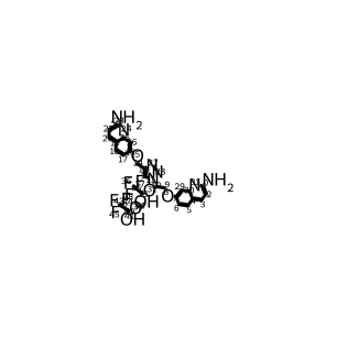 Nc1ccc2ccc(OCCn3cc(COc4ccc5ccc(N)nc5c4)nn3)cc2n1.O=C(O)C(F)(F)F.O=C(O)C(F)(F)F